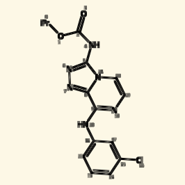 CC(C)OC(=O)Nc1nnc2c(Nc3cccc(Cl)c3)nccn12